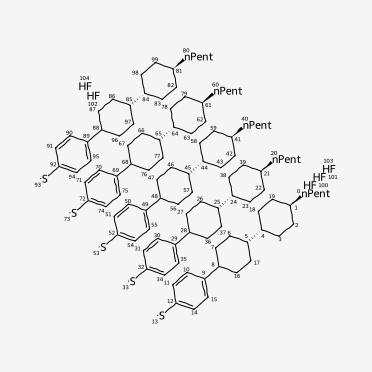 CCCCC[C@H]1CC[C@H](C2CCC(c3ccc([S])cc3)CC2)CC1.CCCCC[C@H]1CC[C@H](C2CCC(c3ccc([S])cc3)CC2)CC1.CCCCC[C@H]1CC[C@H](C2CCC(c3ccc([S])cc3)CC2)CC1.CCCCC[C@H]1CC[C@H](C2CCC(c3ccc([S])cc3)CC2)CC1.CCCCC[C@H]1CC[C@H](C2CCC(c3ccc([S])cc3)CC2)CC1.F.F.F.F.F